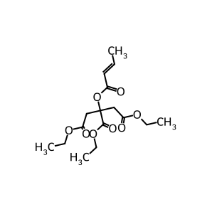 CC=CC(=O)OC(CC(=O)OCC)(CC(=O)OCC)C(=O)OCC